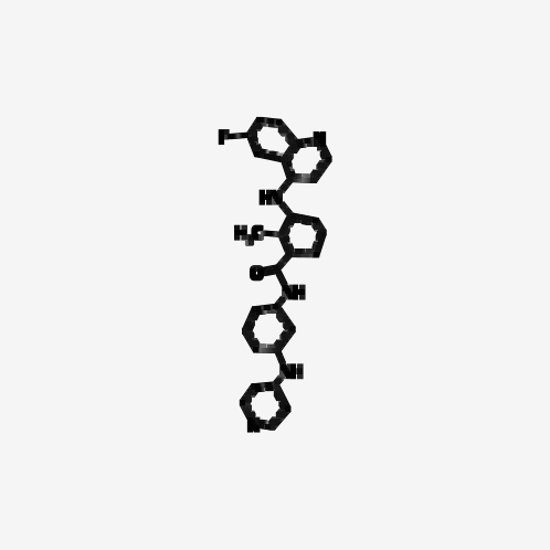 Cc1c(Nc2ccnc3ccc(F)cc23)cccc1C(=O)Nc1cccc(Nc2ccncc2)c1